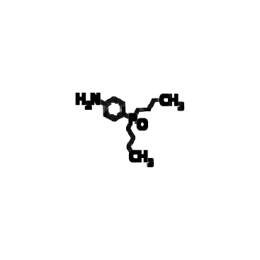 CCCCP(=O)(CCCC)c1ccc(N)cc1